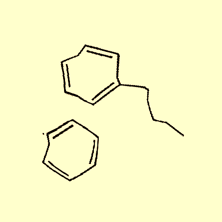 CCCc1ccccc1.[c]1ccccc1